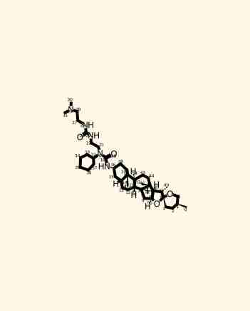 C[C@H]1CC[C@@]2(OC1)O[C@H]1C[C@H]3[C@@H]4CC[C@@H]5C[C@H](NC(=O)N(CCNC(=O)NCCN(C)C)C6CCCCC6)CC[C@]5(C)[C@H]4CC[C@]3(C)[C@H]1[C@@H]2C